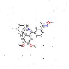 CO/N=C(\C)c1cccc(C2=N[C@@H]3CCCC[C@@H]3c3cc(OC)c(OC)cc32)c1